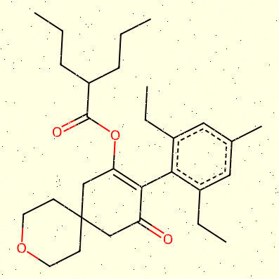 CCCC(CCC)C(=O)OC1=C(c2c(CC)cc(C)cc2CC)C(=O)CC2(CCOCC2)C1